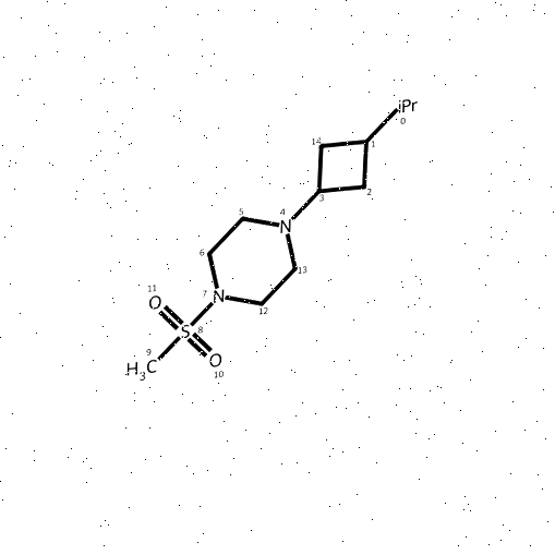 CC(C)C1CC(N2CCN(S(C)(=O)=O)CC2)C1